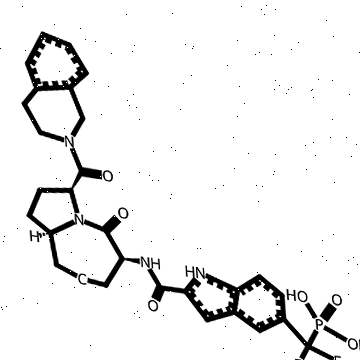 O=C(N[C@H]1CCC[C@H]2CC[C@@H](C(=O)N3CCc4ccccc4C3)N2C1=O)c1cc2cc(C(F)(F)P(=O)(O)O)ccc2[nH]1